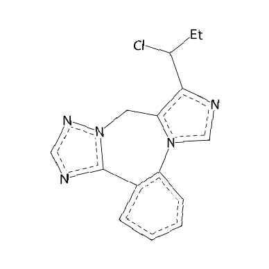 CCC(Cl)c1ncn2c1Cn1ncnc1-c1ccccc1-2